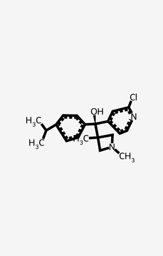 CC(C)c1ccc([C@](O)(c2ccnc(Cl)c2)C2(C)CN(C)C2)cc1